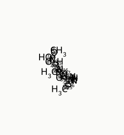 COCCN(C(=O)O)c1ccc(-c2[nH]c([C@@H]3CCc4cc(-c5cc(C)ccc5-n5cnnn5)cc(=O)n43)nc2C)cc1